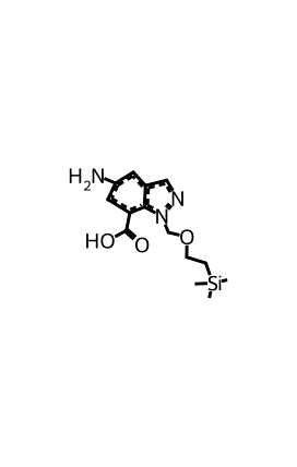 C[Si](C)(C)CCOCn1ncc2cc(N)cc(C(=O)O)c21